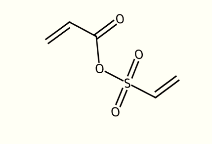 C=CC(=O)OS(=O)(=O)C=C